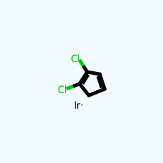 ClC1=C(Cl)CC=C1.[Ir]